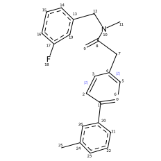 C=C(/C=C\C(=C/C)CC(=C)N(C)Cc1cccc(F)c1)c1cccc(C)c1